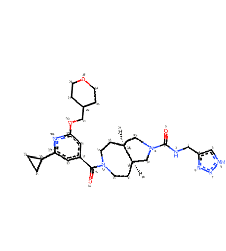 O=C(NCc1c[nH]nn1)N1C[C@H]2CCN(C(=O)c3cc(OCC4CCOCC4)nc(C4CC4)c3)CC[C@H]2C1